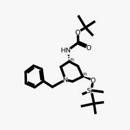 CC(C)(C)OC(=O)N[C@@H]1C[C@@H](O[Si](C)(C)C(C)(C)C)CN(Cc2ccccc2)C1